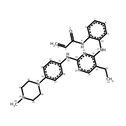 C=CC(=O)Nc1ccccc1Nc1nc(Nc2ccc(N3CCN(C)CC3)cc2)ncc1CC